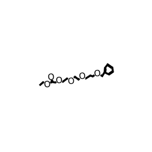 CCOC(=O)COCCOCCOCCCOCc1ccccc1